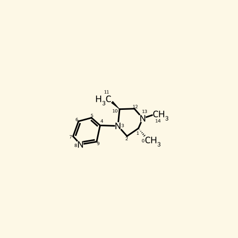 C[C@@H]1CN(c2cccnc2)[C@@H](C)CN1C